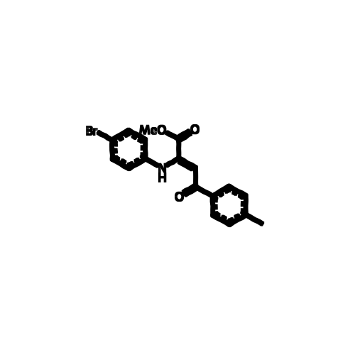 COC(=O)C(=CC(=O)c1ccc(C)cc1)Nc1ccc(Br)cc1